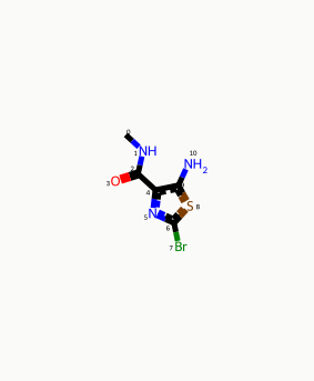 CNC(=O)c1nc(Br)sc1N